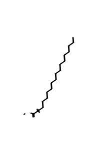 CCCCCCCCCCCCCCCCC(O)(O)C(=O)OC